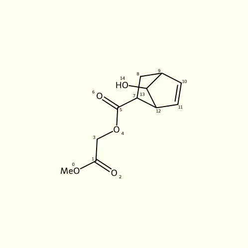 COC(=O)COC(=O)C1CC2C=CC1C2O